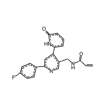 C=CC(=O)NCc1cnc(-c2ccc(F)cc2)cc1-c1cccc(=O)[nH]1